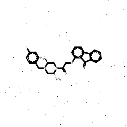 C[C@@H]1CN(Cc2ccc(F)cc2)[C@@H](C)CN1C(=O)COc1cccc2c1C(=O)c1ccccc1-2